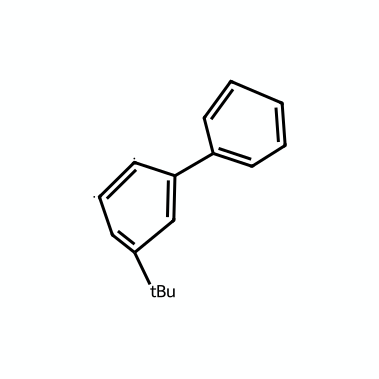 CC(C)(C)c1c[c][c]c(-c2ccccc2)c1